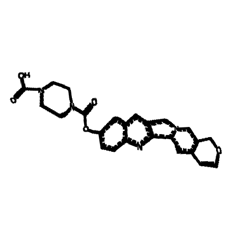 O=C(O)N1CCN(C(=O)Oc2ccc3nc4c(cc3c2)cn2cc3c(cc42)C=COC3)CC1